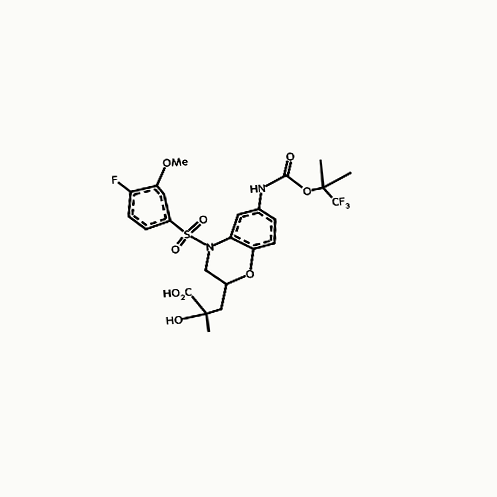 COc1cc(S(=O)(=O)N2CC(CC(C)(O)C(=O)O)Oc3ccc(NC(=O)OC(C)(C)C(F)(F)F)cc32)ccc1F